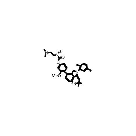 CCN(CCN(C)C)C(=O)Oc1ccc(-c2ccc3c4c2CN(c2cc(F)ccc2C)C4=CC(C)(C)N3)c(OC)c1